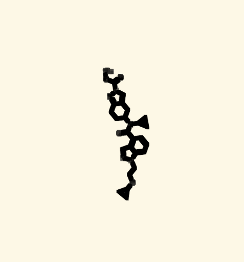 CC(C)(C)OC(=O)n1cc2c(n1)CCC(N(C(=O)c1cccc3c1cnn3CCOC1CC1)C1CC1)C2